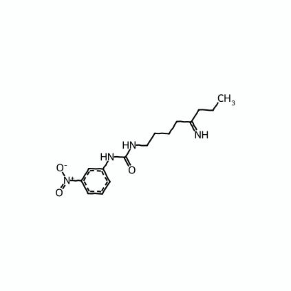 CCCC(=N)CCCCNC(=O)Nc1cccc([N+](=O)[O-])c1